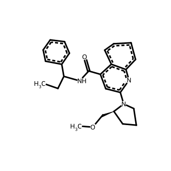 CCC(NC(=O)c1cc(N2CCC[C@H]2COC)nc2ccccc12)c1ccccc1